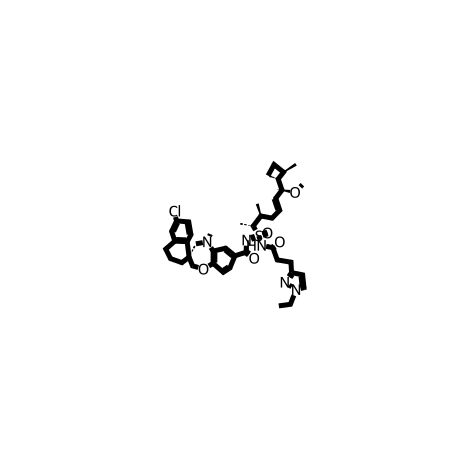 CCn1ccc(CCC(=O)NS(=O)(=NC(=O)c2ccc3c(c2)N(C)C[C@@]2(CCCc4cc(Cl)ccc42)CO3)[C@H](C)[C@@H](C)C/C=C/[C@H](OC)[C@@H]2CC[C@H]2C)n1